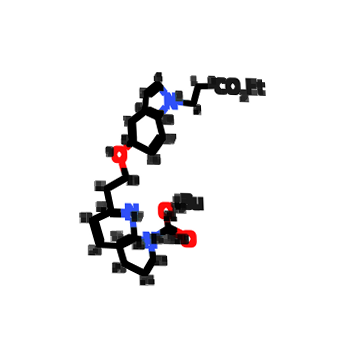 CCOC(=O)CCn1ccc2cc(OCCc3ccc4c(n3)N(C(=O)OC(C)(C)C)CCC4)ccc21